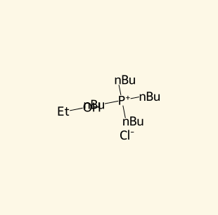 CCCC[P+](CCCC)(CCCC)CCCC.CCO.[Cl-]